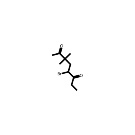 CCC(=O)C(Br)CC(C)(C)C(C)=O